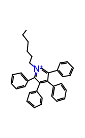 CCCCCC[n+]1cc(-c2ccccc2)c(-c2ccccc2)c(-c2ccccc2)c1-c1ccccc1